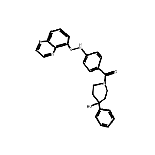 O=C(c1ccc(NSc2cccc3nccnc23)cc1)N1CCC(O)(c2ccccc2)CC1